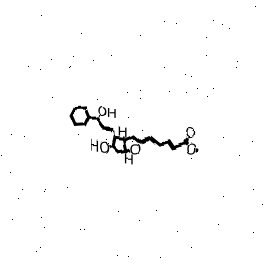 COC(=O)CCC/C=C1/C[C@@H]2[C@@H](/C=C/[C@@H](O)C3CCCCC3)[C@H](O)C[C@H]2O1